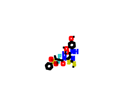 COc1ccc(NC(=O)c2nc(SC)sc2NC(=O)C(F)(F)C(C)S(=O)(=O)c2ccccc2)c(OC)c1